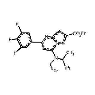 CCOC(=O)c1cc2nc(-c3cc(F)c(F)c(F)c3)cc(N(CC(C)C)C(C)C(C)C)n2n1